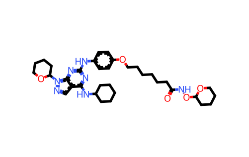 O=C(CCCCCCOc1ccc(Nc2nc(NC3CCCCC3)c3cnn(C4CCCCO4)c3n2)cc1)NOC1CCCCO1